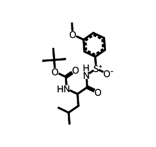 COc1cccc([S+]([O-])NC(=O)C(CC(C)C)NC(=O)OC(C)(C)C)c1